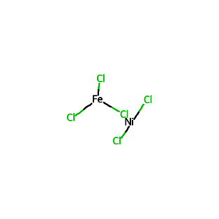 [Cl][Fe]([Cl])[Cl].[Cl][Ni][Cl]